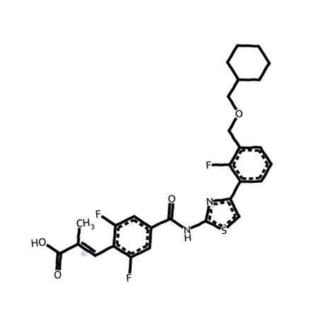 C/C(=C\c1c(F)cc(C(=O)Nc2nc(-c3cccc(COCC4CCCCC4)c3F)cs2)cc1F)C(=O)O